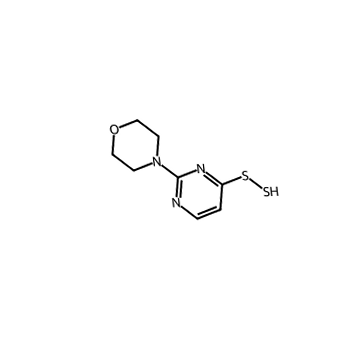 SSc1ccnc(N2CCOCC2)n1